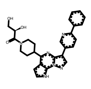 O=C([C@H](O)CO)N1CCC(c2nc3c(-c4ccc(-c5ccccc5)nc4)cnn3c3[nH]ccc23)CC1